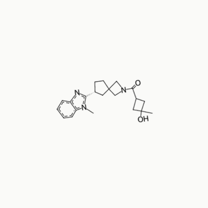 Cn1c([C@@H]2CCC3(C2)CN(C(=O)C2CC(C)(O)C2)C3)nc2ccccc21